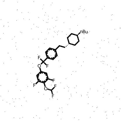 CCCC[C@H]1CC[C@H](CCc2ccc(C(F)(F)Oc3cc(F)c(OC(F)F)c(F)c3)cc2)CC1